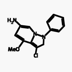 COC1=CC(N)=CN2C1=C(Cl)CN2c1ccccc1